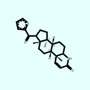 C[C@]12C=CC(=O)NC1CC[C@@H]1[C@H]2CC[C@]2(C)C(C(=O)c3cccs3)CC[C@@H]12